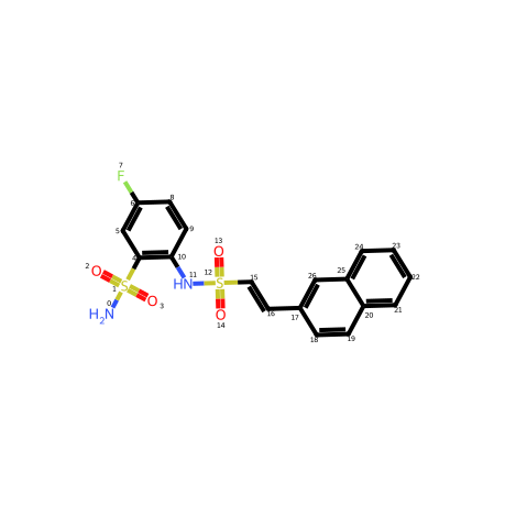 NS(=O)(=O)c1cc(F)ccc1NS(=O)(=O)C=Cc1ccc2ccccc2c1